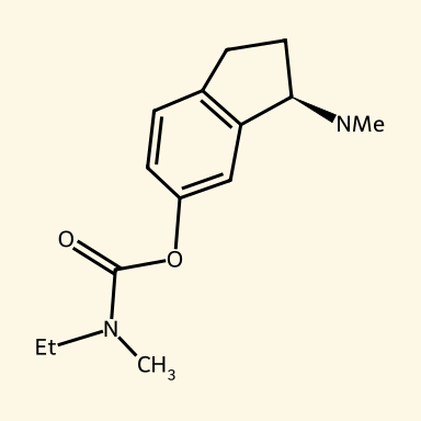 CCN(C)C(=O)Oc1ccc2c(c1)[C@H](NC)CC2